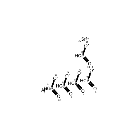 [Al+3].[O]=[GeH][O-].[O]=[GeH][O-].[O]=[GeH][O-].[O]=[GeH][O-].[O]=[GeH][O-].[Sr+2]